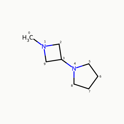 CN1CC(N2CCCC2)C1